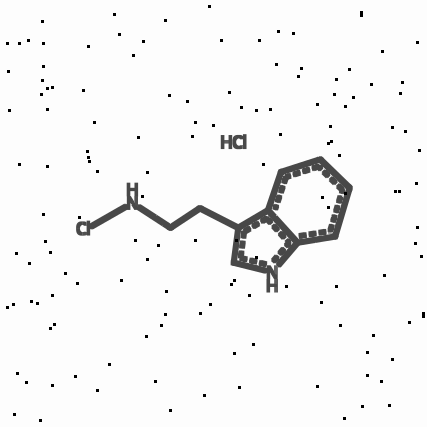 Cl.ClNCCc1c[nH]c2ccccc12